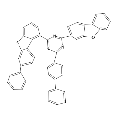 c1ccc(-c2ccc(-c3nc(-c4ccc5c(c4)oc4ccccc45)nc(-c4cccc5sc6cc(-c7ccccc7)ccc6c45)n3)cc2)cc1